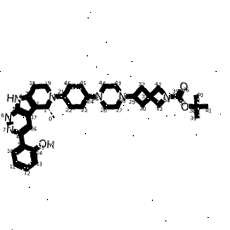 C[C@@H]1c2c([nH]c3nnc(-c4ccccc4O)cc23)CCN1C1CCC(N2CCN(C3CC4(C3)CN(C(=O)OC(C)(C)C)C4)CC2)CC1